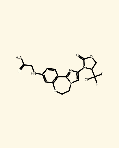 NC(=O)CNc1ccc2c(c1)OCCn1cc(N3C(=O)OCC3C(F)(F)Cl)nc1-2